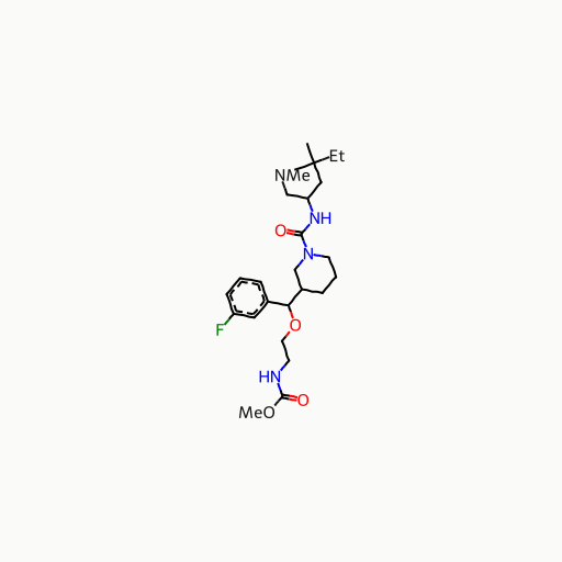 CCC(C)(C)CC(CNC)NC(=O)N1CCCC(C(OCCNC(=O)OC)c2cccc(F)c2)C1